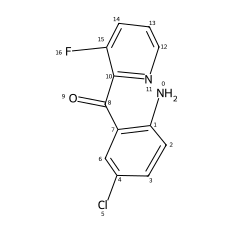 Nc1ccc(Cl)cc1C(=O)c1ncccc1F